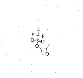 CC1OCC1OS(=O)(=O)C(F)(F)F